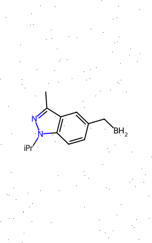 BCc1ccc2c(c1)c(C)nn2C(C)C